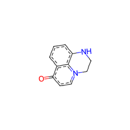 O=c1ccn2c3c(cccc13)NCC2